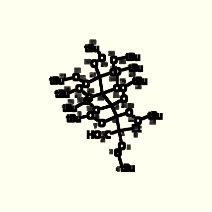 CCC(OOC(C)(C)C)(C(=O)O)C(OOC(C)(C)C)(OOC(C)(C)C)C(OOC(C)(C)C)(OOC(C)(C)C)C(OOC(C)(C)C)(OOC(C)(C)C)C(OOC(C)(C)C)(OOC(C)(C)C)OOC(C)(C)C